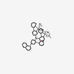 CC1(C)c2ccccc2-c2ccc(N(c3ccc(-c4cccc5ccccc45)cc3-c3ccccc3)c3cccc4c3-c3ccccc3C4(C)C)cc21